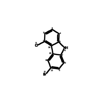 Clc1cccc2[nH]c3ccc(Br)cc3c12